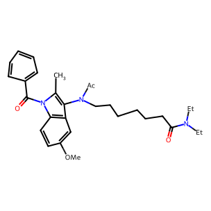 CCN(CC)C(=O)CCCCCCN(C(C)=O)c1c(C)n(C(=O)c2ccccc2)c2ccc(OC)cc12